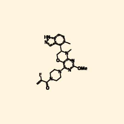 C=C(F)C(=O)N1CCN(c2nc(OC)nc3c2OCC(c2c(C)ccc4[nH]ncc24)N3C)CC1